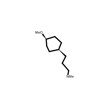 CNCCC[C@H]1CC[C@@H](OC)CC1